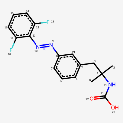 CC(C)(Cc1cccc(/N=N/c2c(F)cccc2F)c1)NC(=O)O